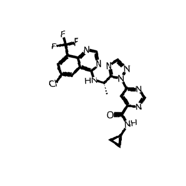 C[C@H](Nc1ncnc2c(C(F)(F)F)cc(Cl)cc12)c1ncnn1-c1cc(C(=O)NC2CC2)ncn1